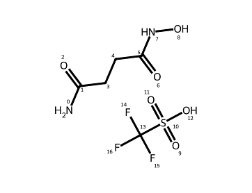 NC(=O)CCC(=O)NO.O=S(=O)(O)C(F)(F)F